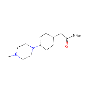 CNC(=O)CC1CCC(N2CCN(C)CC2)CC1